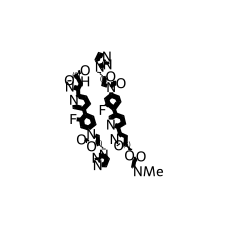 CNCC(=O)OC[C@@H]1CC(c2ccc(-c3ccc(N4C[C@H](Cn5ccnn5)OC4=O)cc3F)cn2)=NO1.O=C1O[C@@H](Cn2ccnn2)CN1c1ccc(-c2ccc(C3=NO[C@H](CO)C3)nc2)c(F)c1